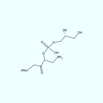 CCCCCCCCCCC(=O)C(CN)OP(=O)(O)OC[C@H](O)CO